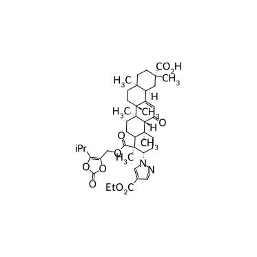 CCOC(=O)c1cnn([C@H]2CC[C@@]3(C)C(CC[C@]4(C)[C@@H]3C(=O)C=C3[C@@H]5C[C@@](C)(C(=O)O)CC[C@]5(C)CC[C@]34C)[C@]2(C)C(=O)OCc2oc(=O)oc2C(C)C)c1